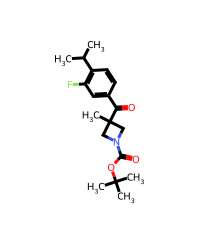 CC(C)c1ccc(C(=O)C2(C)CN(C(=O)OC(C)(C)C)C2)cc1F